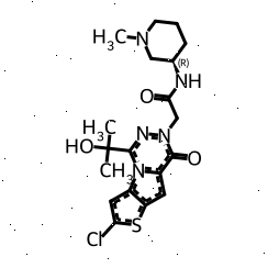 CN1CCC[C@@H](NC(=O)Cn2nc(C(C)(C)O)n3c(cc4sc(Cl)cc43)c2=O)C1